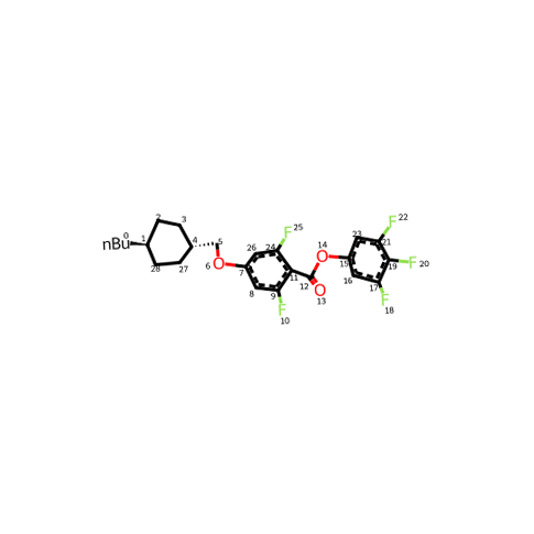 CCCC[C@H]1CC[C@H](COc2cc(F)c(C(=O)Oc3cc(F)c(F)c(F)c3)c(F)c2)CC1